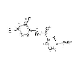 COC(CCC#N)C(=O)NCc1ccc(Cl)cc1Cl